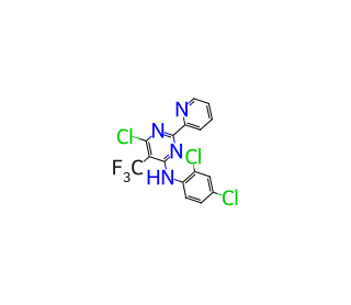 FC(F)(F)c1c(Cl)nc(-c2ccccn2)nc1Nc1ccc(Cl)cc1Cl